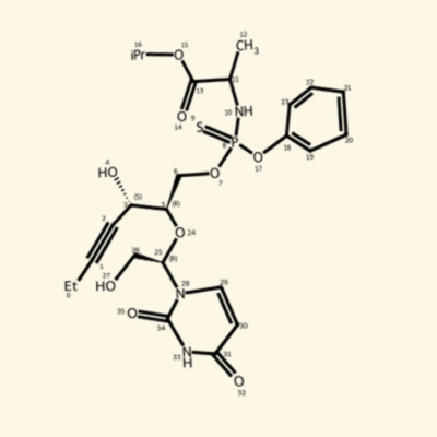 CCC#C[C@H](O)[C@@H](COP(=S)(NC(C)C(=O)OC(C)C)Oc1ccccc1)O[C@H](CO)n1ccc(=O)[nH]c1=O